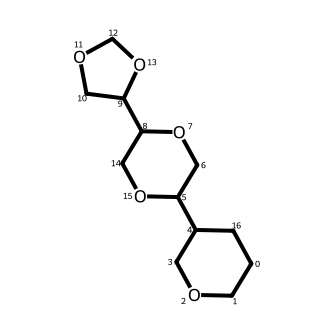 C1COCC(C2COC(C3COCO3)CO2)C1